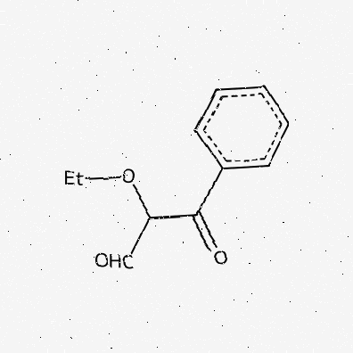 CCOC(C=O)C(=O)c1ccccc1